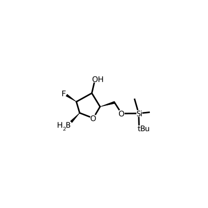 B[C@@H]1O[C@H](CO[Si](C)(C)C(C)(C)C)C(O)[C@@H]1F